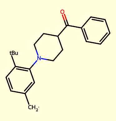 [CH2]c1ccc(C(C)(C)C)c(N2CCC(C(=O)c3ccccc3)CC2)c1